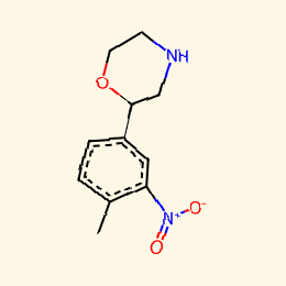 Cc1ccc(C2CNCCO2)cc1[N+](=O)[O-]